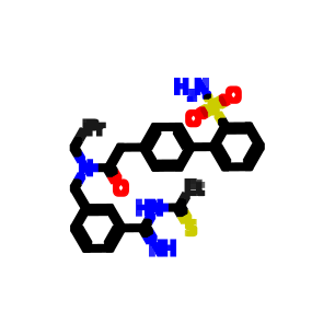 CCC(=S)NC(=N)c1cccc(CN(CC(C)C)C(=O)Cc2ccc(-c3ccccc3S(N)(=O)=O)cc2)c1